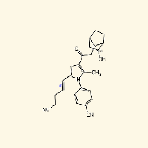 Cc1c(C(=O)CN2C3CCC2[C@H](O)C3)cc(/C=C/CCC#N)n1-c1ccc(C#N)cc1